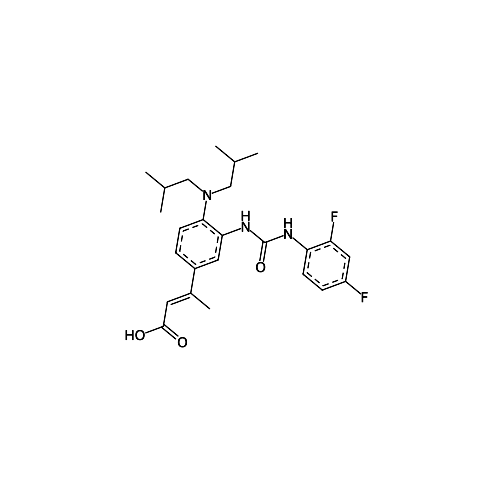 C/C(=C\C(=O)O)c1ccc(N(CC(C)C)CC(C)C)c(NC(=O)Nc2ccc(F)cc2F)c1